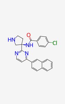 O=C(N[C@]1(c2nccc(-c3ccc4ccccc4c3)n2)CCNC1)c1ccc(Cl)cc1